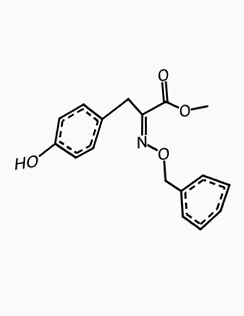 COC(=O)C(Cc1ccc(O)cc1)=NOCc1ccccc1